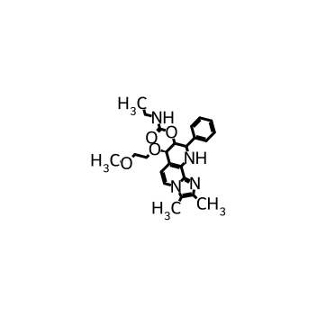 CCNC(=O)OC1C(c2ccccc2)Nc2c(ccn3c(C)c(C)nc23)[C@H]1OCCOC